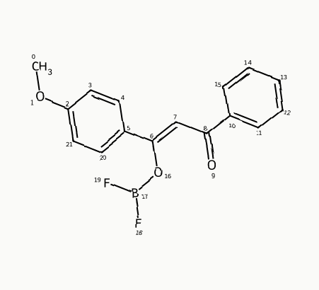 COc1ccc(/C(=C/C(=O)c2ccccc2)OB(F)F)cc1